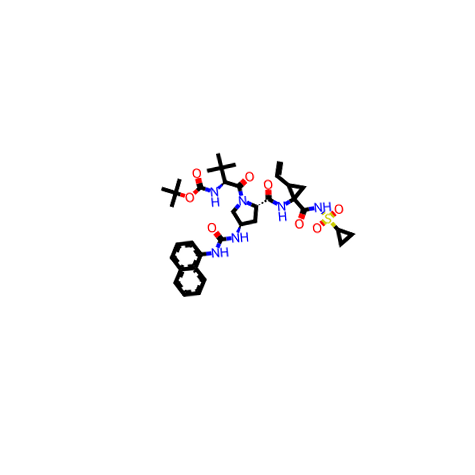 C=CC1CC1(NC(=O)[C@@H]1C[C@@H](NC(=O)Nc2cccc3ccccc23)CN1C(=O)[C@@H](NC(=O)OC(C)(C)C)C(C)(C)C)C(=O)NS(=O)(=O)C1CC1